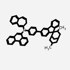 CC1CC2CC(C)C3(c4ccccc4-c4cc(-c5ccc(N(C6=Cc7ccccc7C=CC6)c6cc7ccccc7c7ccccc67)cc5)ccc43)C(C1)C2